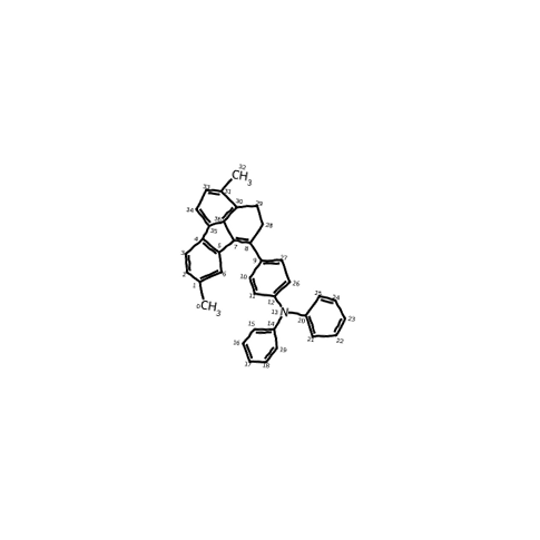 Cc1ccc2c(c1)C1=C(c3ccc(N(c4ccccc4)c4ccccc4)cc3)CCc3c(C)ccc-2c31